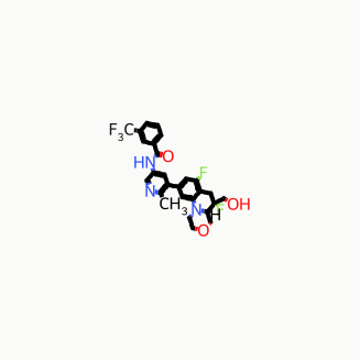 Cc1ncc(NC(=O)c2cccc(C(F)(F)F)c2)cc1-c1cc(F)c2c(c1)N1CCOC[C@H]1[C@@](F)(CO)C2